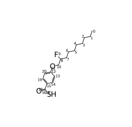 CCCCCCCCC(F)COc1ccc(C(=O)S)cc1